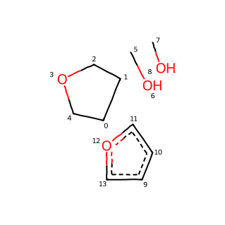 C1CCOC1.CO.CO.c1ccoc1